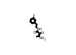 CC/C(C(=O)NCCc1cccc(F)c1)=C(/C)N